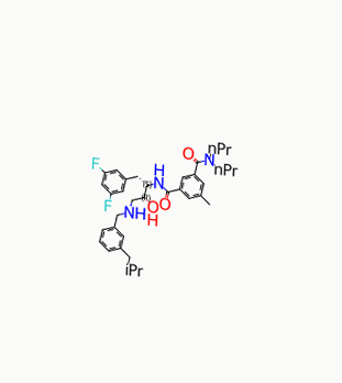 CCCN(CCC)C(=O)c1cc(C)cc(C(=O)N[C@@H](Cc2cc(F)cc(F)c2)[C@H](O)CNCc2cccc(CC(C)C)c2)c1